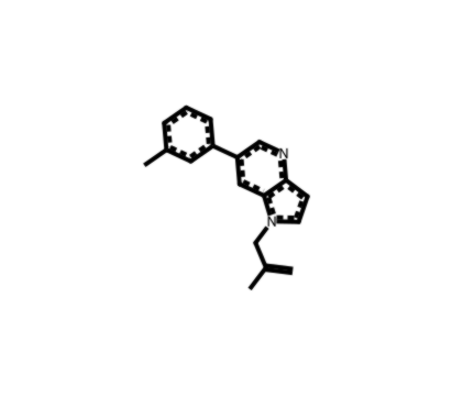 C=C(C)Cn1ccc2ncc(-c3cccc(C)c3)cc21